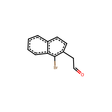 O=CCc1ccc2ccccc2c1Br